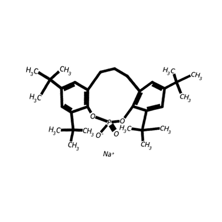 CC(C)(C)c1cc2c(c(C(C)(C)C)c1)OP(=O)([O-])Oc1c(cc(C(C)(C)C)cc1C(C)(C)C)CCC2.[Na+]